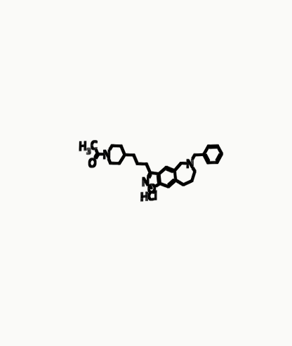 CC(=O)N1CCC(CCCc2noc3cc4c(cc23)CN(Cc2ccccc2)CCC4)CC1.Cl